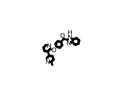 Cc1ccc(-c2cccnc2Oc2ccc(C(=O)c3nc4ccccc4[nH]3)cc2)cn1